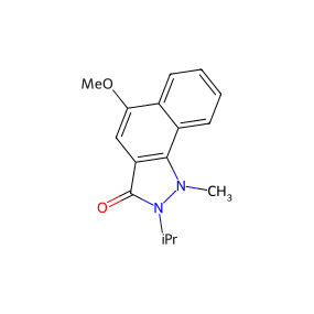 COc1cc2c(=O)n(C(C)C)n(C)c2c2ccccc12